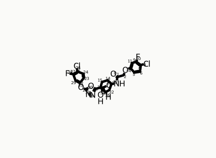 O=C(COc1ccc(Cl)c(F)c1)NC12CCC(c3nnc(Oc4ccc(Cl)c(F)c4)o3)(CC1)[C@@H](O)C2